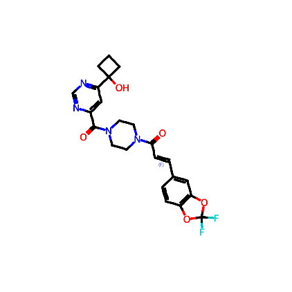 O=C(/C=C/c1ccc2c(c1)OC(F)(F)O2)N1CCN(C(=O)c2cc(C3(O)CCC3)ncn2)CC1